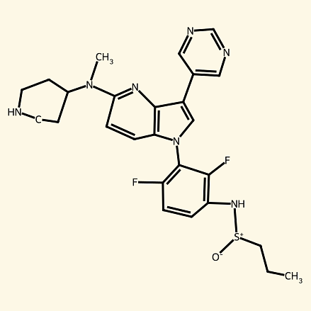 CCC[S+]([O-])Nc1ccc(F)c(-n2cc(-c3cncnc3)c3nc(N(C)C4CCNCC4)ccc32)c1F